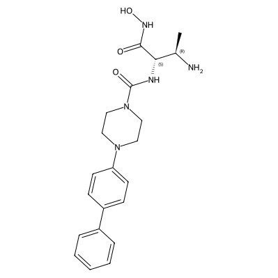 C[C@@H](N)[C@H](NC(=O)N1CCN(c2ccc(-c3ccccc3)cc2)CC1)C(=O)NO